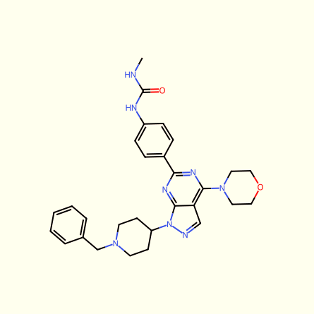 CNC(=O)Nc1ccc(-c2nc(N3CCOCC3)c3cnn(C4CCN(Cc5ccccc5)CC4)c3n2)cc1